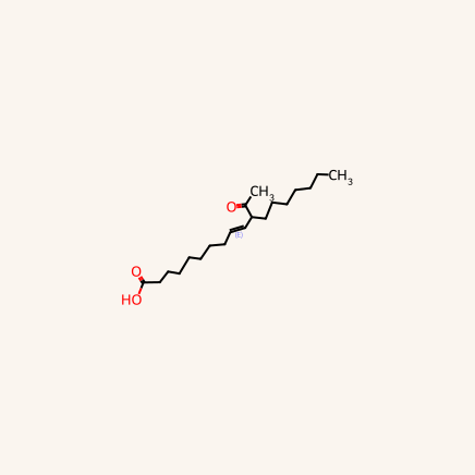 CCCCCCCC(/C=C/CCCCCCCC(=O)O)C(C)=O